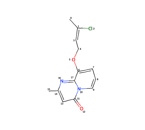 C/C(Cl)=C/COc1cccn2c(=O)cc(C)nc12